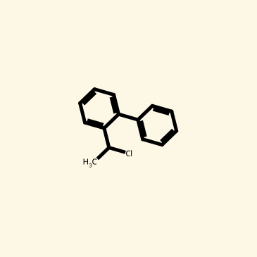 CC(Cl)c1ccccc1-c1ccccc1